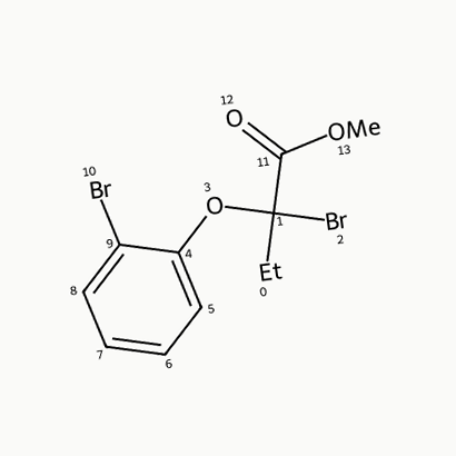 CCC(Br)(Oc1ccccc1Br)C(=O)OC